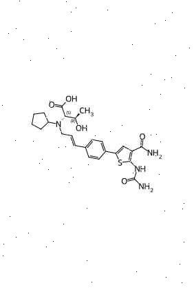 C[C@@H](O)[C@@H](C(=O)O)N(CC=Cc1ccc(-c2cc(C(N)=O)c(NC(N)=O)s2)cc1)C1CCCC1